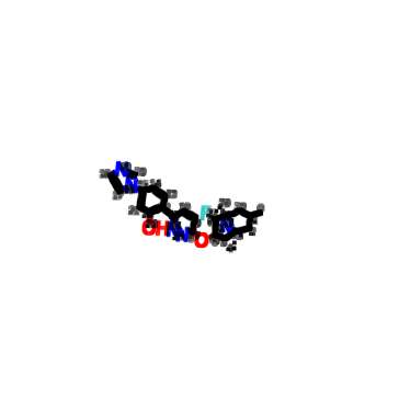 CC1C[C@@]2(C)C[C@H](Oc3ccc(-c4ccc(-n5ccnc5)cc4O)nn3)[C@@H](F)[C@@](C)(C1)N2C